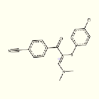 CN(C)/C=C(\Sc1ccc(Cl)cc1)C(=O)c1ccc(C#N)cc1